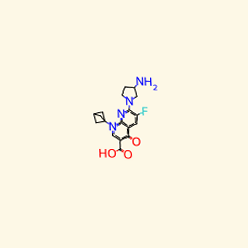 NC1CCN(c2nc3c(cc2F)c(=O)c(C(=O)O)cn3C23CC(C2)C3)C1